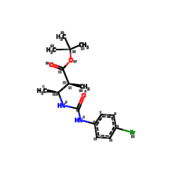 C[C@H](NC(=O)Nc1ccc(Br)cc1)[C@H](C)C(=O)OC(C)(C)C